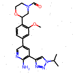 COc1cc(-c2cnc(N)c(-c3cn(C(C)C)nn3)c2)ccc1C1CN(C=O)CCO1